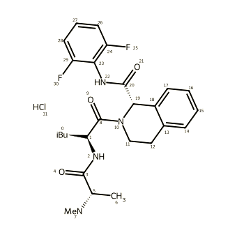 CC[C@H](C)[C@H](NC(=O)[C@H](C)NC)C(=O)N1CCc2ccccc2[C@H]1C(=O)Nc1c(F)cccc1F.Cl